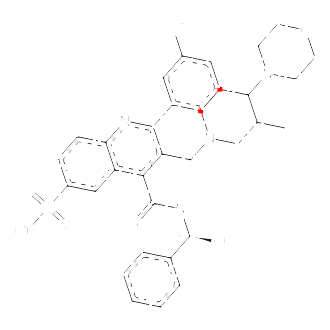 CC1CN(Cc2c(-c3cccc(C(F)(F)F)c3)nc3ccc(S(=O)(=O)C(C)C)cc3c2C(=O)N[C@H](c2ccccc2)C(F)(F)F)CCC1N1CCOCC1